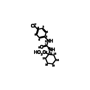 O=C(Nc1ccc(Cl)cc1)NC1(C(=O)O)CCCCC1